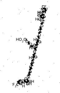 O=C(O)COCCOCC(=O)NC(COCCC(=O)NCCOCCOCCOCCOC[C@H]1OC[C@H](Nc2nccc(C(F)(F)F)n2)[C@@H](O)[C@H]1O)COCCC(=O)NCCOCCOCCOCCOC[C@H]1OC[C@H](Nc2nccc(C(F)(F)F)n2)[C@@H](O)[C@H]1O